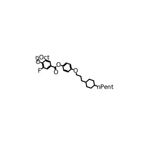 CCCCCCCCOc1ccc(C(=O)Oc2ccc(OCCCC3CCC(CCCCC)CC3)cc2)cc1F